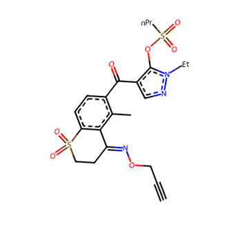 C#CCON=C1CCS(=O)(=O)c2ccc(C(=O)c3cnn(CC)c3OS(=O)(=O)CCC)c(C)c21